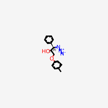 Cc1ccc(OC[C@@H](O)[C@H](N=[N+]=[N-])c2ccccc2)cc1